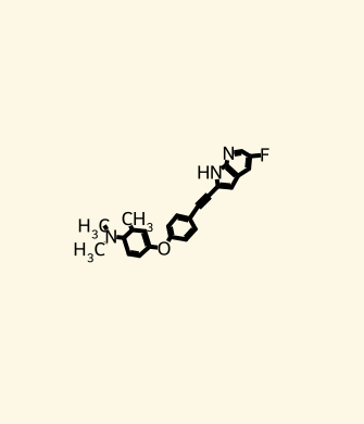 CC1C=C(Oc2ccc(C#Cc3cc4cc(F)cnc4[nH]3)cc2)C=CC1N(C)C